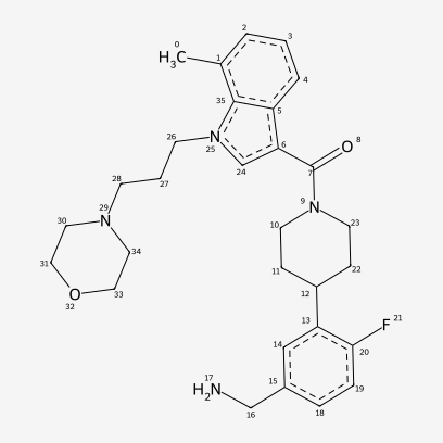 Cc1cccc2c(C(=O)N3CCC(c4cc(CN)ccc4F)CC3)cn(CCCN3CCOCC3)c12